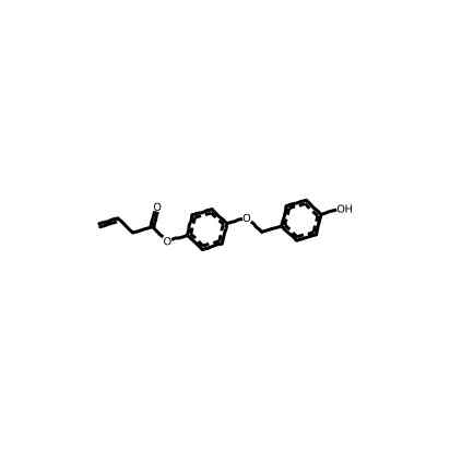 C=CCC(=O)Oc1ccc(OCc2ccc(O)cc2)cc1